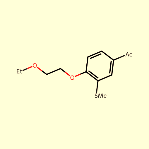 CCOCCOc1ccc(C(C)=O)cc1SC